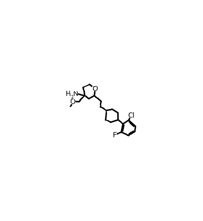 COCC1(N)CCOC(CCC2CCC(c3c(F)cccc3Cl)CC2)C1